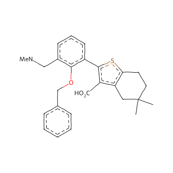 CNCc1cccc(-c2sc3c(c2C(=O)O)CC(C)(C)CC3)c1OCc1ccccc1